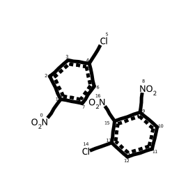 O=[N+]([O-])c1ccc(Cl)cc1.O=[N+]([O-])c1cccc(Cl)c1[N+](=O)[O-]